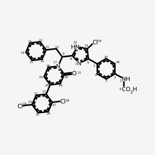 O=C(O)Nc1ccc(-c2nc(C(Cc3ccccc3)n3ccc(-c4cc(Cl)ccc4Cl)cc3=O)[nH]c2Cl)cc1